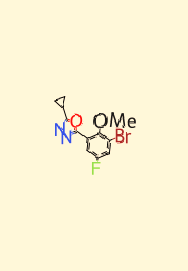 COc1c(Br)cc(F)cc1-c1nnc(C2CC2)o1